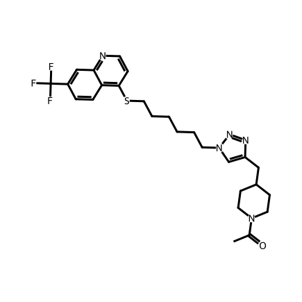 CC(=O)N1CCC(Cc2cn(CCCCCCSc3ccnc4cc(C(F)(F)F)ccc34)nn2)CC1